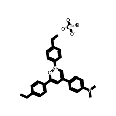 CCc1ccc(C2=CC(c3ccc(N(C)C)cc3)=C[Se](c3ccc(CC)cc3)=[O+]2)cc1.[O-][Cl+3]([O-])([O-])[O-]